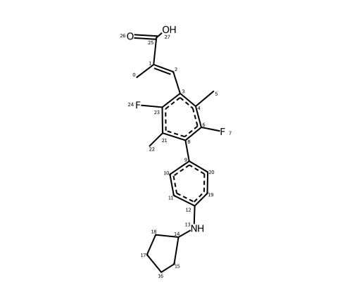 C/C(=C\c1c(C)c(F)c(-c2ccc(NC3CCCC3)cc2)c(C)c1F)C(=O)O